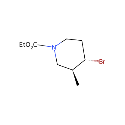 CCOC(=O)N1CC[C@H](Br)[C@@H](C)C1